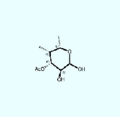 CC(=O)O[C@@H]1[C@H](C)[C@H](C)OC(O)[C@H]1O